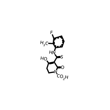 Cc1c(F)cccc1NC(=S)C1=C(O)CCN(C(=O)O)C1=O